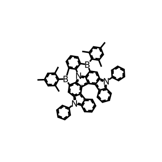 Cc1cc(C)c(B2c3cccc4c3-n3c5c2cc2c(c6ccccc6n2-c2ccccc2)c5c2c5c6ccccc6n(-c6ccccc6)c5cc(c23)B4c2c(C)cc(C)cc2C)c(C)c1